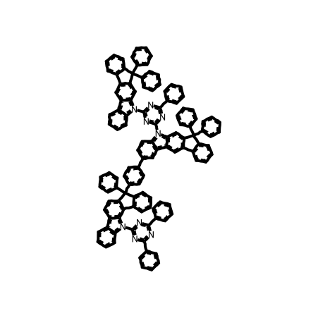 c1ccc(-c2nc(-n3c4ccccc4c4cc5c(cc43)C(c3ccccc3)(c3ccccc3)c3ccccc3-5)nc(-n3c4ccc(-c5ccc(C6(c7ccccc7)c7ccccc7-c7c6ccc6c8ccccc8n(-c8nc(-c9ccccc9)nc(-c9ccccc9)n8)c76)cc5)cc4c4cc5c(cc43)C(c3ccccc3)(c3ccccc3)c3ccccc3-5)n2)cc1